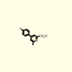 Cc1cc(-c2ccc(F)cc2)cc(C(=O)O)n1